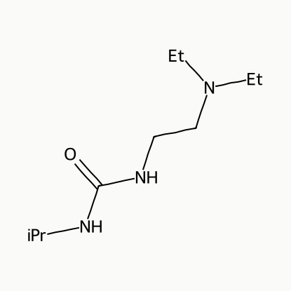 CCN(CC)CCNC(=O)NC(C)C